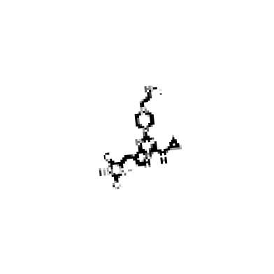 NCCN1CCN(c2nc(NC3CC3)n3ncc(/C=C4\NC(=O)NC4=O)c3n2)CC1